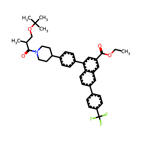 CCOC(=O)c1cc(-c2ccc(C3CCN(C(=O)C(C)COC(C)(C)C)CC3)cc2)c2ccc(-c3ccc(C(F)(F)F)cc3)cc2c1